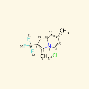 Cc1cc(Cl)n2c(C)c(C(F)(F)F)cc2c1